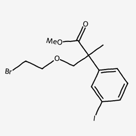 COC(=O)C(C)(COCCBr)c1cccc(I)c1